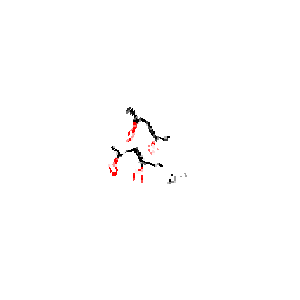 CC(=O)/C=C(/C)[O-].CC(=O)/C=C(/C)[O-].[Zr+2]